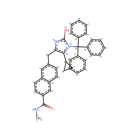 CNC(=O)c1ccc2cc(Cc3nc(O)n(C(c4ccccc4)(c4ccccc4)c4ccccc4)c3C3CC3)ccc2c1